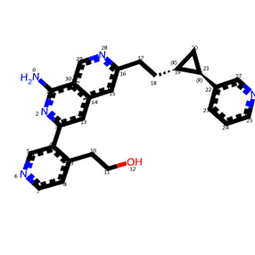 Nc1nc(-c2cnccc2CCO)cc2cc(CC[C@@H]3C[C@H]3c3cccnc3)ncc12